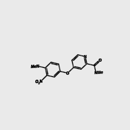 CNC(=O)c1cc(Oc2ccc(NC)c([N+](=O)[O-])c2)ccn1